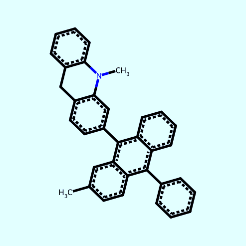 Cc1ccc2c(-c3ccccc3)c3ccccc3c(-c3ccc4c(c3)N(C)c3ccccc3C4)c2c1